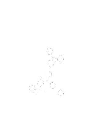 CC1CC(c2ccc3c(c2)c2ccccc2n3-c2ccccc2)=CC=C1N(c1ccc(-c2cccnc2)cc1)c1ccc2c(c1)C(C)(C)c1ccccc1-2